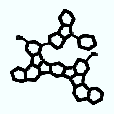 CC(C)(C)c1cc(-c2ccc3c(c2)c2ccccc2n3-c2ccccc2)c2c(c1)c1c3ccccc3cc3c4cc5c(cc4n2c31)c1cc(C(C)(C)C)cc2c3c4ccccc4ccc3n5c12